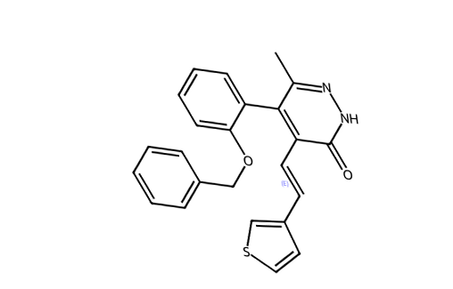 Cc1n[nH]c(=O)c(/C=C/c2ccsc2)c1-c1ccccc1OCc1ccccc1